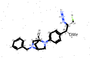 CO[C@H](c1ccc(N2CC3C[C@@H]2CN3Cc2ccccc2)cc1)[C@@H](CF)N=[N+]=[N-]